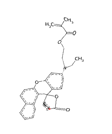 C=C(C)C(=O)OCCN(CC)c1ccc2c(c1)Oc1ccc3ccccc3c1C21OC(=O)c2ccccc21